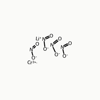 O=N[O-].O=N[O-].O=N[O-].O=N[O-].[Cr+3].[Li+]